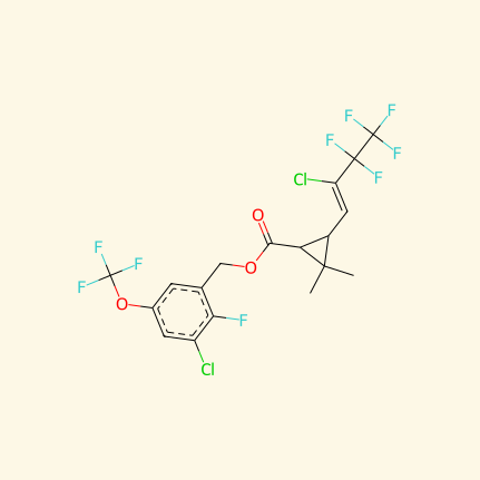 CC1(C)C(C=C(Cl)C(F)(F)C(F)(F)F)C1C(=O)OCc1cc(OC(F)(F)F)cc(Cl)c1F